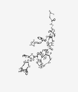 CC(C)CC(=O)SCCOP(=O)(OCOC(=O)O[C@H]1CCOC1)C(F)(F)c1ccc2sc(C(=O)N[C@H]3CCCC[C@H]4CC[C@@H](C(=O)N5C[C@H](c6cc[nH]c(=O)c6)[C@@H](C#N)C5)N4C3=O)cc2c1